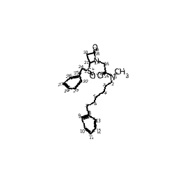 CN(CCCCCCc1ccccc1)C(=O)CN1C(=O)CC1[S+]([O-])Cc1ccccc1